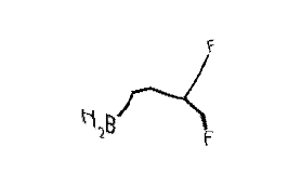 BCC(F)F